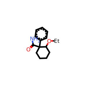 CCOC1CCCCC1(C(N)=O)c1ccccc1